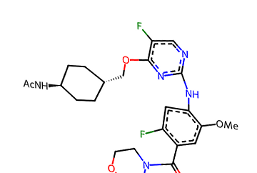 COc1cc(C(=O)N2CCOCC2)c(F)cc1Nc1ncc(F)c(OC[C@H]2CC[C@H](NC(C)=O)CC2)n1